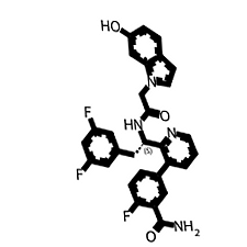 NC(=O)c1cc(-c2cccnc2[C@H](Cc2cc(F)cc(F)c2)NC(=O)Cn2ccc3ccc(O)cc32)ccc1F